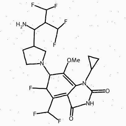 COC1=c2c(c(=O)[nH]c(=O)n2C2CC2)=C(C(F)F)C(F)C1N1CCC(C(N)C(C(F)F)C(F)F)C1